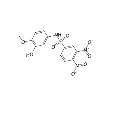 COc1ccc(NS(=O)(=O)c2ccc([N+](=O)[O-])c([N+](=O)[O-])c2)cc1O